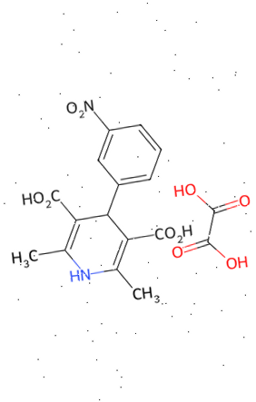 CC1=C(C(=O)O)C(c2cccc([N+](=O)[O-])c2)C(C(=O)O)=C(C)N1.O=C(O)C(=O)O